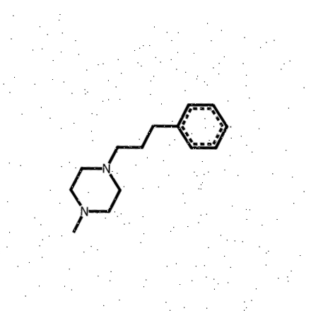 CN1CCN(CCCc2cc[c]cc2)CC1